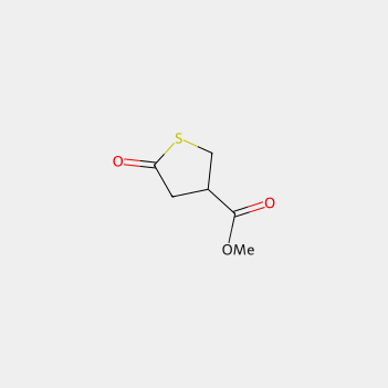 COC(=O)C1CSC(=O)C1